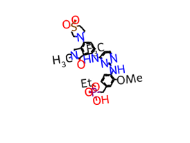 CCOP(=O)(O)Cc1ccc(Nc2ncc(C(F)(F)F)c(Nc3ccc(N4CCS(=O)(=O)CC4)c4c3C(=O)N(C)C4)n2)c(OC)c1